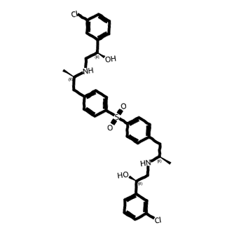 C[C@H](Cc1ccc(S(=O)(=O)c2ccc(C[C@@H](C)NC[C@H](O)c3cccc(Cl)c3)cc2)cc1)NC[C@H](O)c1cccc(Cl)c1